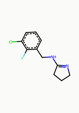 Fc1c(Cl)cccc1CNC1=NCCC1